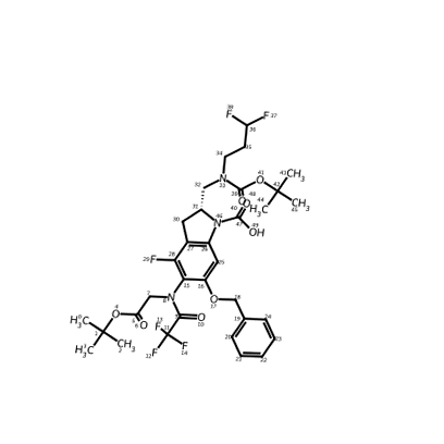 CC(C)(C)OC(=O)CN(C(=O)C(F)(F)F)c1c(OCc2ccccc2)cc2c(c1F)C[C@H](CN(CCC(F)F)C(=O)OC(C)(C)C)N2C(=O)O